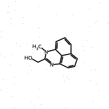 CN1C(CO)=Nc2cccc3cccc1c23